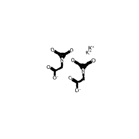 O=C([O-])Cn1c(=O)c1=O.O=C([O-])Cn1c(=O)c1=O.[K+].[K+]